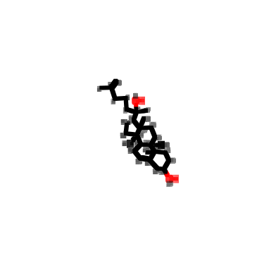 C=C(C)CCC[C@](C)(O)[C@H]1CC[C@H]2C3CC=C4CC(O)CCC4(C)[C@H]3CCC21C